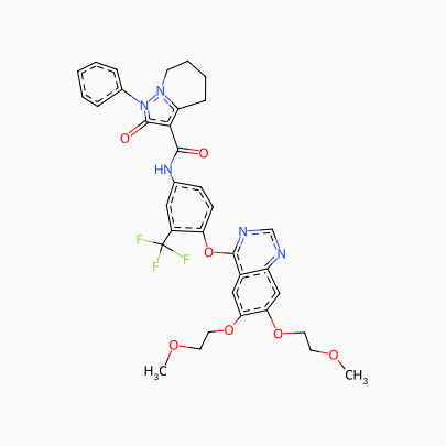 COCCOc1cc2ncnc(Oc3ccc(NC(=O)c4c5n(n(-c6ccccc6)c4=O)CCCC5)cc3C(F)(F)F)c2cc1OCCOC